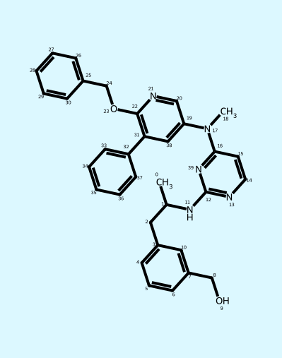 CC(Cc1cccc(CO)c1)Nc1nccc(N(C)c2cnc(OCc3ccccc3)c(-c3ccccc3)c2)n1